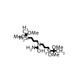 COC(C)(OC)[SiH2]CCCN(CCC[SiH2]C(C)(OC)OC)C(N)=O